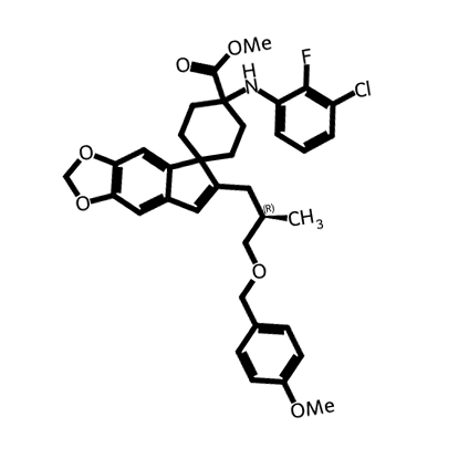 COC(=O)C1(Nc2cccc(Cl)c2F)CCC2(CC1)C(C[C@@H](C)COCc1ccc(OC)cc1)=Cc1cc3c(cc12)OCO3